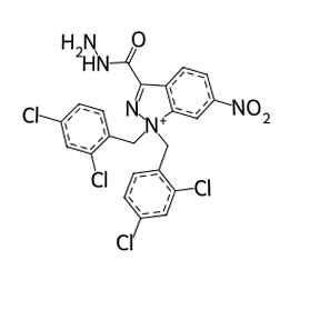 NNC(=O)C1=N[N+](Cc2ccc(Cl)cc2Cl)(Cc2ccc(Cl)cc2Cl)c2cc([N+](=O)[O-])ccc21